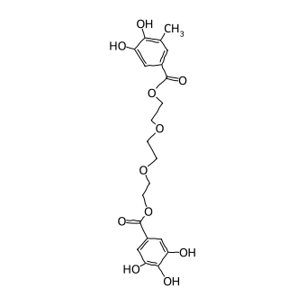 Cc1cc(C(=O)OCCOCCOCCOC(=O)c2cc(O)c(O)c(O)c2)cc(O)c1O